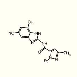 CCn1nc(C)cc1C(=O)Nc1nc2cc(C#N)cc(O)c2[nH]1